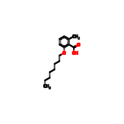 CCCCCCCCOc1cccc(C)c1C(=O)O